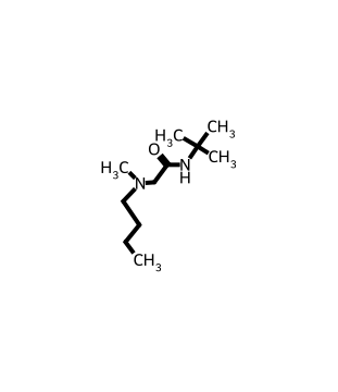 CCCCN(C)CC(=O)NC(C)(C)C